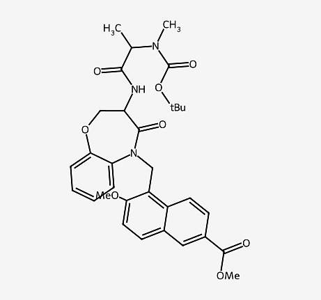 COC(=O)c1ccc2c(CN3C(=O)C(NC(=O)C(C)N(C)C(=O)OC(C)(C)C)COc4ccccc43)c(OC)ccc2c1